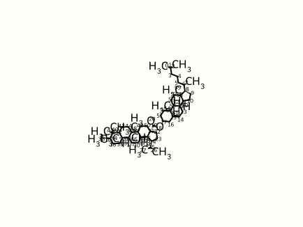 CC(C)CCC[C@@H](C)[C@H]1CC[C@H]2[C@@H]3CC=C4C[C@H](OC(=O)[C@]56CC[C@@H](C(C)C)C5[C@H]5CC[C@@H]7[C@@]8(C)CCC(C)C(C)(C)C8CC[C@@]7(C)[C@]5(C)CC6)CC[C@]4(C)[C@H]3CC[C@]12C